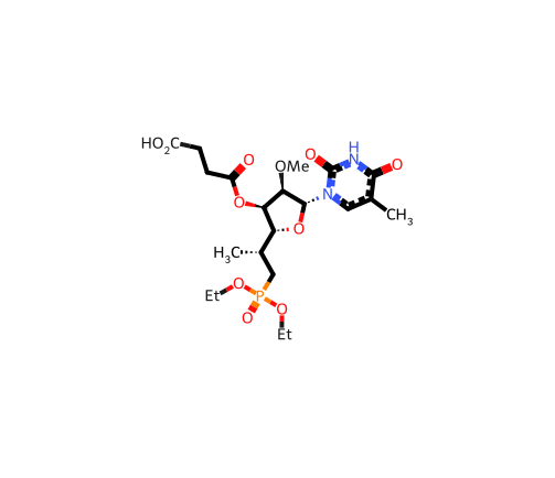 CCOP(=O)(C[C@H](C)[C@H]1O[C@@H](n2cc(C)c(=O)[nH]c2=O)[C@H](OC)[C@@H]1OC(=O)CCC(=O)O)OCC